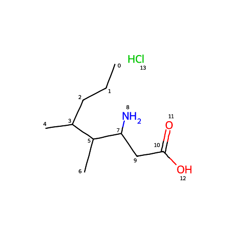 CCCC(C)C(C)C(N)CC(=O)O.Cl